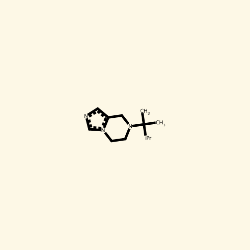 CC(C)C(C)(C)N1CCn2cncc2C1